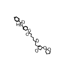 O=C(CCCCC(=O)Oc1ccc(NC(=O)c2ccccc2)cc1)CC1=CC(OC2CCCCO2)CC1=O